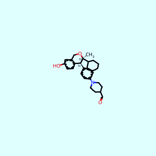 C[C@@]1(C2CCCCC2)OCc2cc(O)ccc2[C@@H]1c1ccc(N2CCC(C=O)CC2)cc1